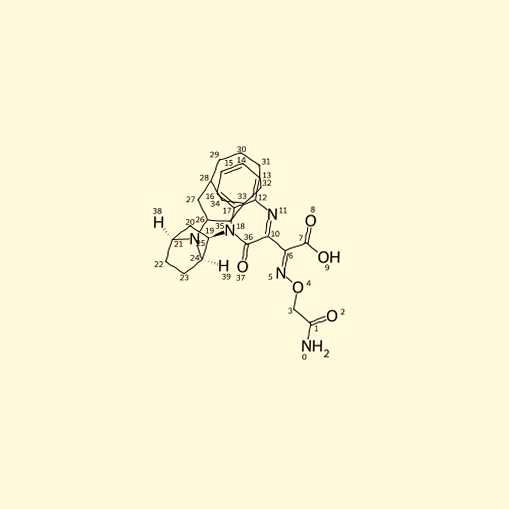 NC(=O)CO/N=C(\C(=O)O)c1nc2ccccc2n([C@@H]2C[C@@H]3CC[C@H]2N3C2CC3CCCCC(C3)C2)c1=O